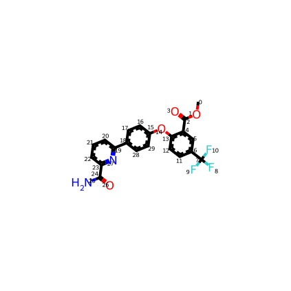 COC(=O)c1cc(C(F)(F)F)ccc1Oc1ccc(-c2cccc(C(N)=O)n2)cc1